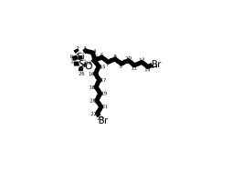 C[Si]1(C)CCC(CCCCCCCCBr)(CCCCCCCCBr)O[Si]1(C)C